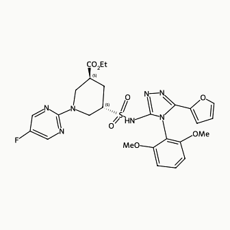 CCOC(=O)[C@H]1C[C@H](S(=O)(=O)Nc2nnc(-c3ccco3)n2-c2c(OC)cccc2OC)CN(c2ncc(F)cn2)C1